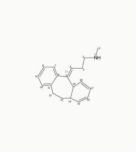 CNCC/C=C1/c2ccccc2CCC2C=CC=CC12